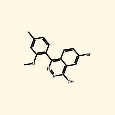 COc1cc(C)ccc1-c1nnc(O)c2cc(Br)ccc12